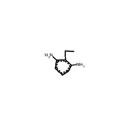 CCc1c(N)cccc1N